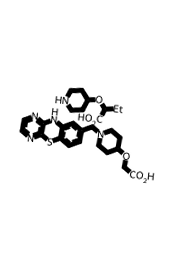 CCC(OC1CCNCC1)C(=O)O.O=C(O)COC1CCN(Cc2ccc3c(c2)Nc2nccnc2S3)CC1